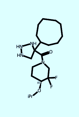 CC(C)O[C@H]1CCN(C(=O)C2(C3CCCCCCCC3)CNNN2)CC1(F)F